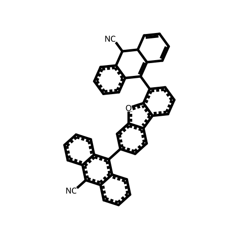 N#Cc1c2ccccc2c(-c2ccc3c(c2)oc2c(C4=C5C=CC=CC5C(C#N)c5ccccc54)cccc23)c2ccccc12